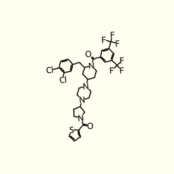 O=C(c1cccs1)N1CCC(N2CCN(C3CCN(C(=O)c4cc(C(F)(F)F)cc(C(F)(F)F)c4)C(Cc4ccc(Cl)c(Cl)c4)C3)CC2)C1